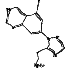 NCc1ncnn1-c1cc(F)c2cncnc2c1